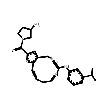 CC(C)c1cccc(NC2=N/Cc3cc(C(=O)N4CCC(N)C4)sc3/C=C\C/C=N\2)c1